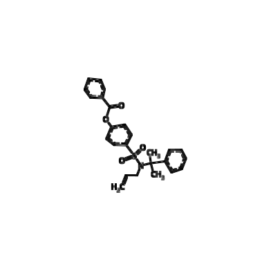 C=CCN(C(C)(C)c1ccccc1)S(=O)(=O)c1ccc(OC(=O)c2ccccc2)cc1